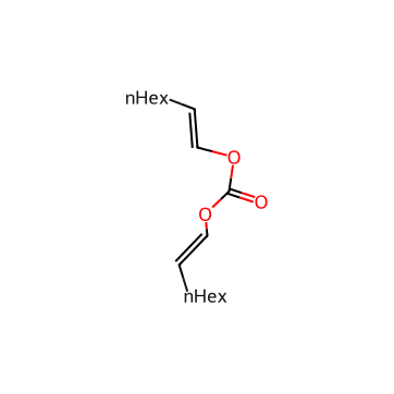 CCCCCCC=COC(=O)OC=CCCCCCC